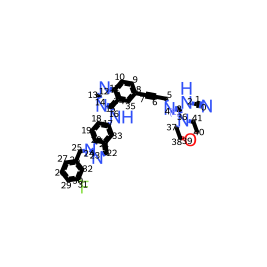 N#CN/C(=N\CC#Cc1ccc2ncnc(Nc3ccc4c(cnn4Cc4cccc(F)c4)c3)c2c1)N1CCOCC1